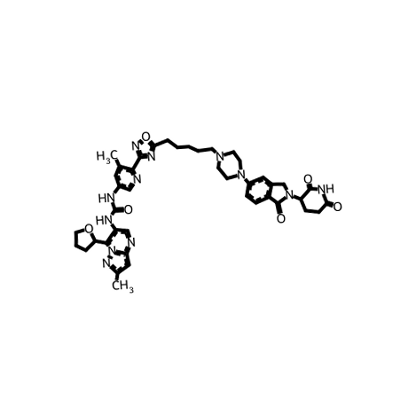 Cc1cc2ncc(NC(=O)Nc3cnc(-c4noc(CCCCCN5CCN(c6ccc7c(c6)CN(C6CCC(=O)NC6=O)C7=O)CC5)n4)c(C)c3)c(C3CCCO3)n2n1